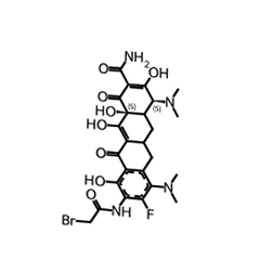 CN(C)c1c(F)c(NC(=O)CBr)c(O)c2c1CC1CC3[C@H](N(C)C)C(O)=C(C(N)=O)C(=O)[C@@]3(O)C(O)=C1C2=O